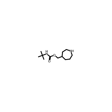 CC(C)(C)NC(=O)OCC1CCCNCC1